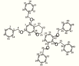 c1ccc(COc2cc(OCc3ccccc3)c3c(c2)O[C@@H](c2cc(OCc4ccccc4)c(OCc4ccccc4)c(OCc4ccccc4)c2)CC3)cc1